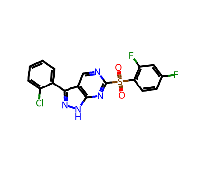 O=S(=O)(c1ncc2c(-c3ccccc3Cl)n[nH]c2n1)c1ccc(F)cc1F